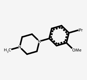 COc1cc(N2CCN(C)CC2)ccc1C(C)C